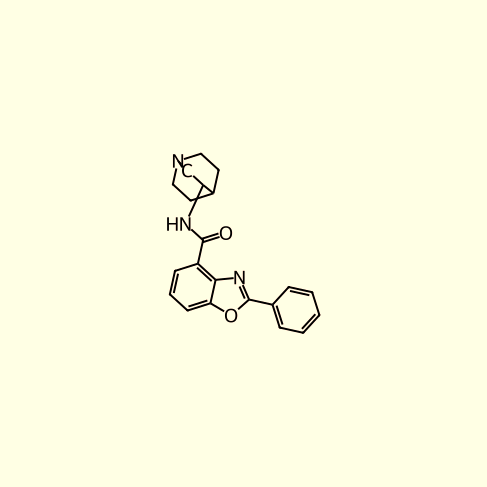 O=C(NC1CN2CCC1CC2)c1cccc2oc(-c3ccccc3)nc12